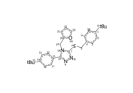 CC(C)(C)c1ccc(CSc2nnc(-c3ccc(C(C)(C)C)cc3)n2Cc2ccco2)cc1